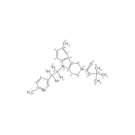 [2H]C([2H])(c1ccc(C)nc1)C([2H])([2H])n1c2c(c3cc(C)ccc31)CN(C(=O)OC(C)(C)C)CC2